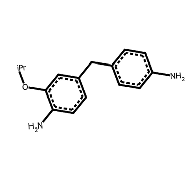 CC(C)Oc1cc(Cc2ccc(N)cc2)ccc1N